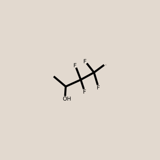 [CH2]C(F)(F)C(F)(F)C(C)O